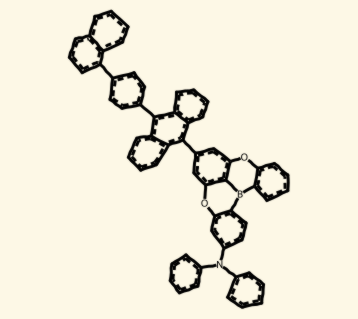 c1ccc(N(c2ccccc2)c2ccc3c(c2)Oc2cc(-c4c5ccccc5c(-c5ccc(-c6cccc7ccccc67)cc5)c5ccccc45)cc4c2B3c2ccccc2O4)cc1